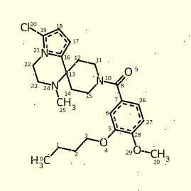 CCCCOc1cc(C(=O)N2CCC3(CC2)c2ccc(Cl)n2CCN3C)ccc1OC